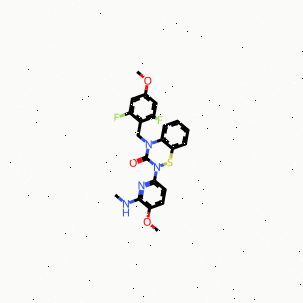 CNc1nc(N2Sc3ccccc3N(Cc3c(F)cc(OC)cc3F)C2=O)ccc1OC